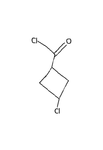 O=C(Cl)C1CC(Cl)C1